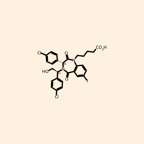 O=C(O)CCCCN1C(=O)[C@@H](c2ccc(Cl)cc2)N([C@H](CO)c2ccc(Cl)cc2)C(=O)c2cc(I)ccc21